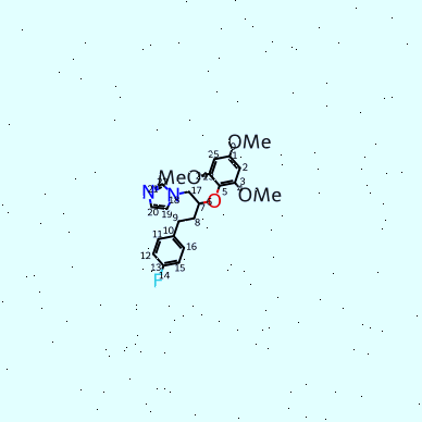 COc1cc(OC)c(OC(CCc2ccc(F)cc2)Cn2ccnc2)c(OC)c1